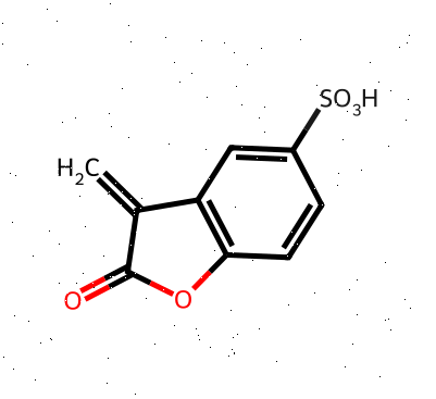 C=C1C(=O)Oc2ccc(S(=O)(=O)O)cc21